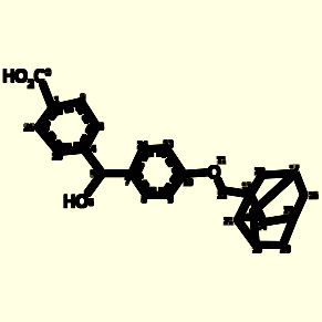 O=C(O)c1ccc(C(O)c2ccc(OCC34CC5CC(CC(C5)C3)C4)cc2)cc1